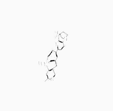 Cc1cc(N)c(Cc2cc(-c3ccc4c(n3)N[C@H]3CCN4C3)ccn2)cn1